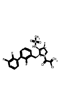 C=C(CC)C(=O)N1C[C@H](F)[C@H](NS(C)(=O)=O)[C@@H]1Cc1cccc(-c2cccc(F)c2F)c1F